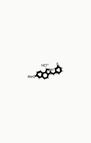 COc1ccc2c(c1)CCC1C(Cc3cccc(F)c3)NCC21.Cl